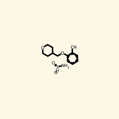 N#Cc1ccccc1OCC1CCOCC1.N[SH](=O)=O